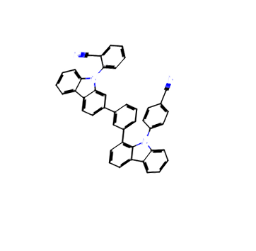 N#Cc1ccc(-n2c3ccccc3c3cccc(-c4cccc(-c5ccc6c7ccccc7n(-c7ccccc7C#N)c6c5)c4)c32)cc1